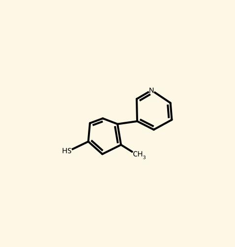 Cc1cc(S)ccc1-c1cccnc1